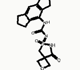 O=C(N=S1(=O)CC2(COC2)C(=O)N1)Nc1c2c(cc3c1CCC3)CCC2